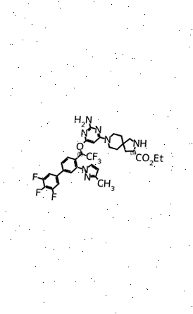 CCOC(=O)[C@@H]1CC2(CCN(c3cc(O[C@H](c4ccc(-c5cc(F)c(F)c(F)c5)cc4-n4ccc(C)n4)C(F)(F)F)nc(N)n3)CC2)CN1